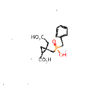 O=C(O)CC1(CP(=O)(O)Cc2ccccc2)CC1C(=O)O